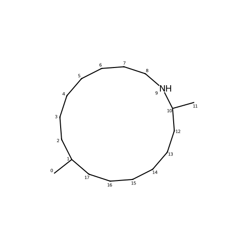 CC1CCCCCCCNC(C)CCCCCC1